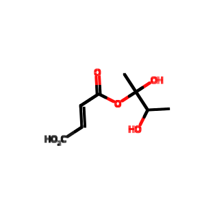 CC(O)C(C)(O)OC(=O)C=CC(=O)O